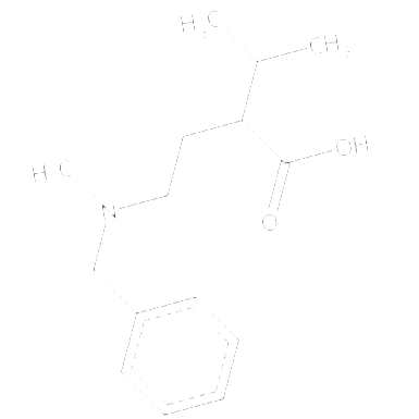 CC(C)C(CCN(C)Cc1ccccc1)C(=O)O